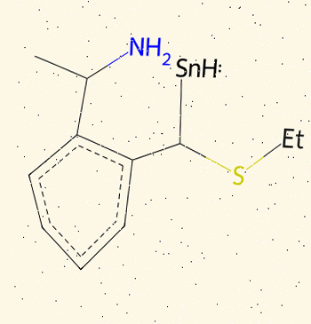 CCS[CH]([SnH])c1ccccc1C(C)N